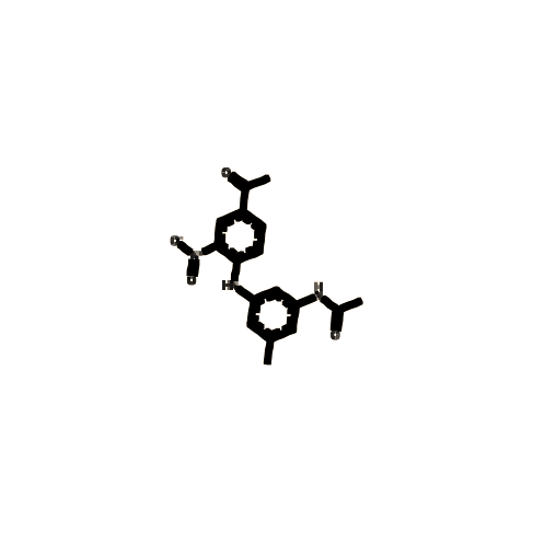 CC(=O)Nc1cc(C)cc(Nc2ccc(C(C)=O)cc2[N+](=O)[O-])c1